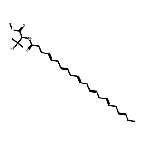 CCC=CCC=CCC=CCC=CCC=CCC=CCCC(=O)NC(C(=O)OC)C(C)(C)S